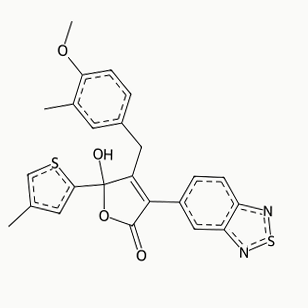 COc1ccc(CC2=C(c3ccc4nsnc4c3)C(=O)OC2(O)c2cc(C)cs2)cc1C